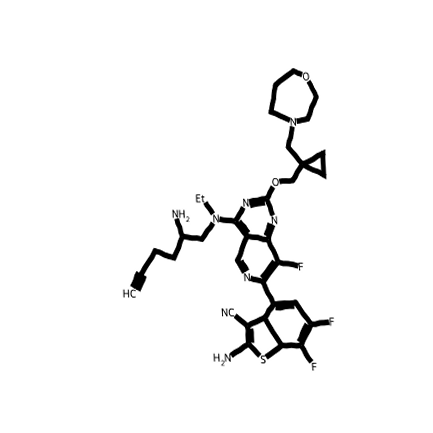 C#CCCC(N)CN(CC)c1nc(OCC2(CN3CCCOCC3)CC2)nc2c(F)c(C3=CC(F)=C(F)C4SC(N)=C(C#N)C34)ncc12